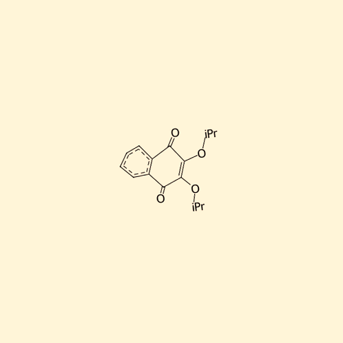 CC(C)OC1=C(OC(C)C)C(=O)c2ccccc2C1=O